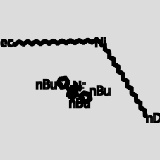 CCCCC1=C(c2cccc(CCCC)c2)[N+](=[N-])C(c2cccc(CCCC)c2)=C1.CCCCCCCCCCCCCCCCCCCCCCCCCCCCC[CH2][Ni][CH2]CCCCCCCCCCCCCCCCCCCCCCCCCCCCC